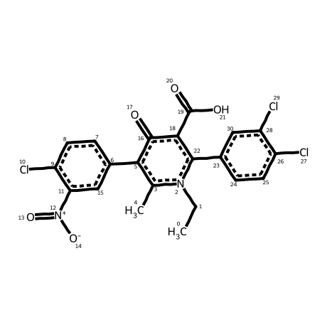 CCn1c(C)c(-c2ccc(Cl)c([N+](=O)[O-])c2)c(=O)c(C(=O)O)c1-c1ccc(Cl)c(Cl)c1